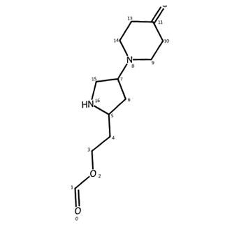 O=COCCC1CC(N2CCC(=O)CC2)CN1